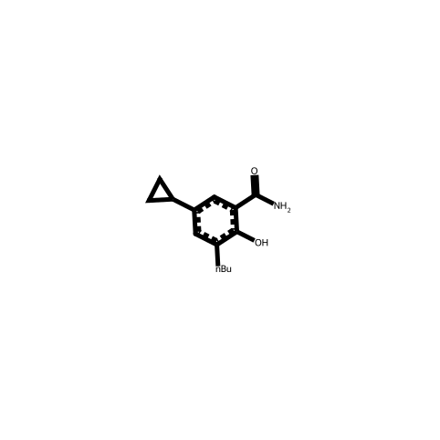 CCCCc1cc(C2CC2)cc(C(N)=O)c1O